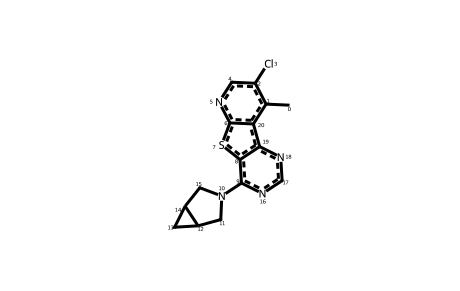 Cc1c(Cl)cnc2sc3c(N4CC5CC5C4)ncnc3c12